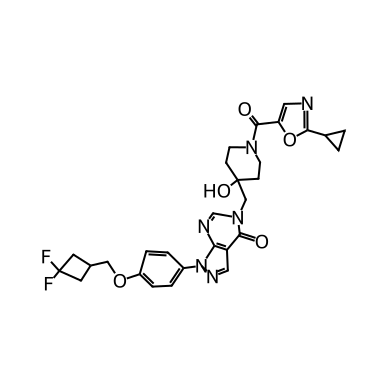 O=C(c1cnc(C2CC2)o1)N1CCC(O)(Cn2cnc3c(cnn3-c3ccc(OCC4CC(F)(F)C4)cc3)c2=O)CC1